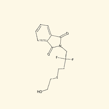 O=C1c2ccccc2C(=O)N1CC(F)(F)CCSCCO